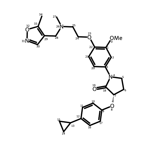 COc1cc(N2CC[C@H](Oc3ccc(C4CC4)cc3)C2=O)ccc1OCCN(C)Cc1cnoc1C